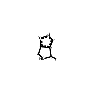 CC1NCc2oncc21